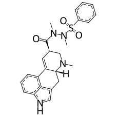 CN1C[C@H](C(=O)N(C)N(C)S(=O)(=O)c2ccccc2)C=C2c3cccc4[nH]cc(c34)C[C@H]21